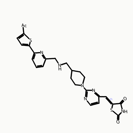 CC(=O)c1ccc(-c2cccc(CNCC3CCN(c4nccc(/C=C5\SC(=O)NC5=O)n4)CC3)n2)s1